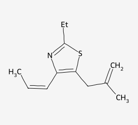 C=C(C)Cc1sc(CC)nc1/C=C\C